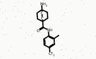 Cc1cc(C(F)(F)F)ccc1NC(=O)C12CCC(N)(CC1)CC2